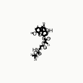 COc1ccc2c3c1OC1C(OC(=O)C(C)OC(=O)CCNC(=O)OC(C)(C)C)=CCC4(O)C(C2)N(C)CCC314